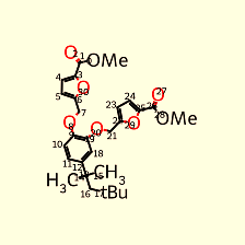 COC(=O)c1ccc(COc2ccc(C(C)(C)CC(C)(C)C)cc2OCc2ccc(C(=O)OC)o2)o1